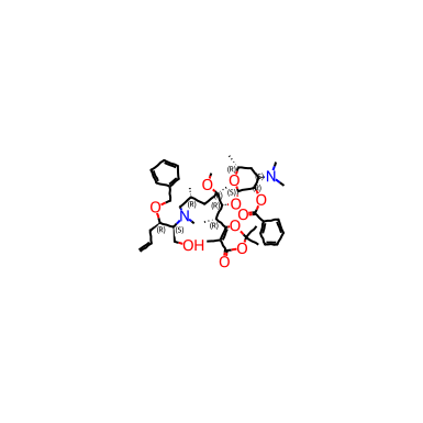 C=CC[C@@H](OCc1ccccc1)[C@H](CO)N(C)C[C@H](C)C[C@@](C)(OC)[C@H](O[C@@H]1O[C@H](C)C[C@H](N(C)C)[C@H]1OC(=O)c1ccccc1)[C@@H](C)C1=C(C)C(=O)OC(C)(C)O1